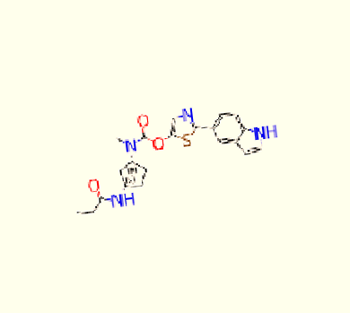 CCC(=O)N[C@H]1CC[C@@H](N(C)C(=O)Oc2cnc(-c3ccc4[nH]ccc4c3)s2)C1